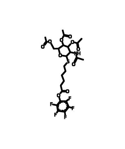 CC(=O)NC1C(SCCCCCC(=O)Oc2c(F)c(F)c(F)c(F)c2F)OC(COC(C)=O)C(OC(C)=O)C1OC(C)=O